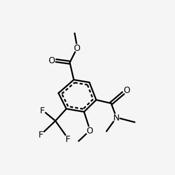 COC(=O)c1cc(C(=O)N(C)C)c(OC)c(C(F)(F)F)c1